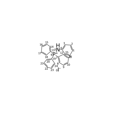 [I-].c1ccc(N[P+](c2ccccc2)(c2ccccc2)c2ccccc2)cc1